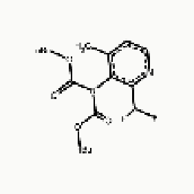 CCCCOC(=O)N(C(=O)OC(C)(C)C)c1c(C)ccnc1C(F)F